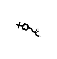 [CH2]CC(=O)CCc1ccc(C(C)(C)C)cc1